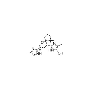 Cc1c[nH]c(NCC(c2nc(C)c(O)[nH]2)P2(=O)CCCC2(C)C)n1